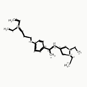 CCN(CC)CCCOc1ccc(C(C)NC2CN(CC)N(CC)C2)cc1